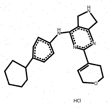 C1=C(c2nc3c(c(Nc4ccc(C5CCCCC5)cc4)n2)CNC3)CCOC1.Cl